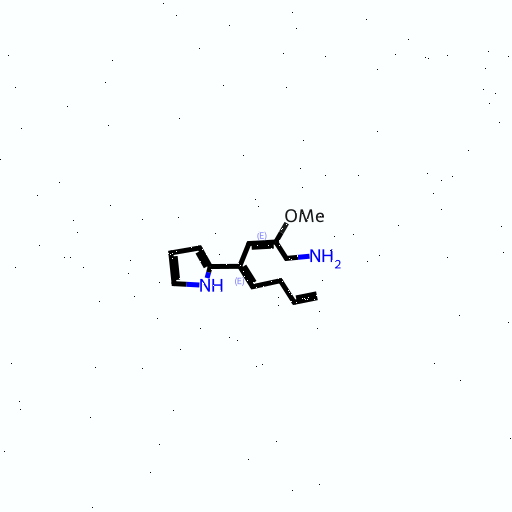 C=CC/C=C(\C=C(/CN)OC)c1ccc[nH]1